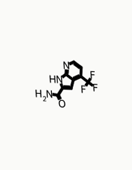 NC(=O)c1cc2c(C(F)(F)F)ccnc2[nH]1